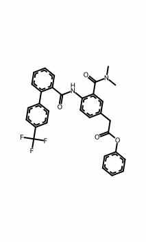 CN(C)C(=O)c1cc(CC(=O)Oc2ccccc2)ccc1NC(=O)c1ccccc1-c1ccc(C(F)(F)F)cc1